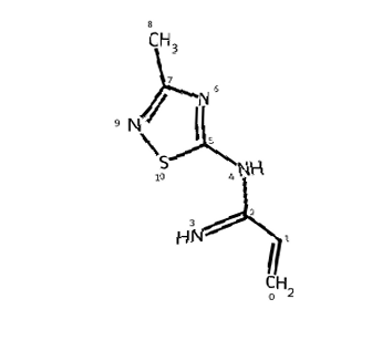 C=CC(=N)Nc1nc(C)ns1